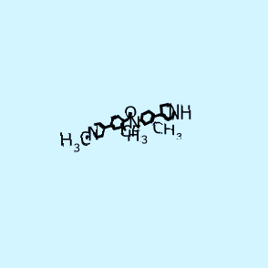 Cc1cc(NC(=O)c2ccc(C3=CCN(C)CC3)cc2C(F)(F)F)ccc1C1=CCNCC1